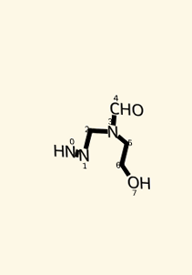 N=NCN(C=O)CCO